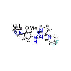 COc1cc(Nc2nc3c(N4CCC(F)(F)CC4)cccn3n2)ccc1-n1cnc(C)c1